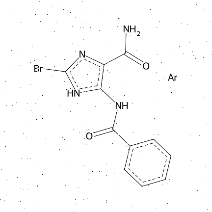 NC(=O)c1nc(Br)[nH]c1NC(=O)c1ccccc1.[Ar]